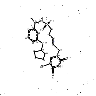 C[C@@H](NS(=O)(=O)CC/C=C/Cn1cc(F)c(=O)[nH]c1=O)c1cccc(OC2CCCC2)c1